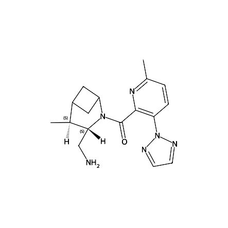 Cc1ccc(-n2nccn2)c(C(=O)N2C3CC(C3)[C@H](C)[C@H]2CN)n1